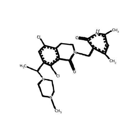 Cc1cc(C)c(CN2CCc3c(Cl)cc(C(C)N4CCN(C)CC4)c(Cl)c3C2=O)c(=O)[nH]1